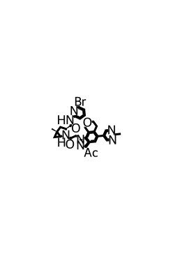 CC(=O)c1nn(CC(=O)N2[C@H](C(=O)Nc3cccc(Br)n3)C[C@@]3(C)C[C@@H]23)c2c3c(c(-c4cnc(C)nc4)cc12)CCOC3